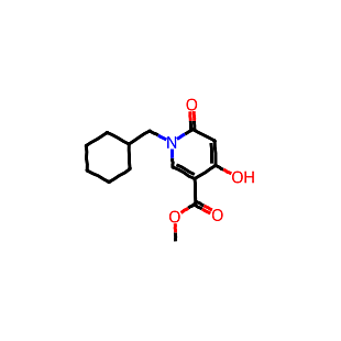 COC(=O)c1cn(CC2CCCCC2)c(=O)cc1O